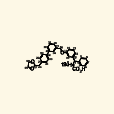 CC(C)(C)N(C(=O)O)C(c1ccccc1)c1cccc(OCc2cccc(-c3ccc(CC4OCCO4)cc3)c2)c1